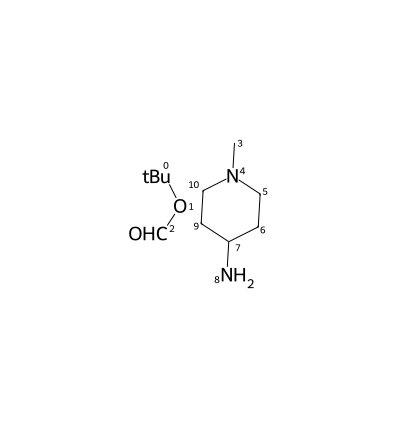 CC(C)(C)OC=O.CN1CCC(N)CC1